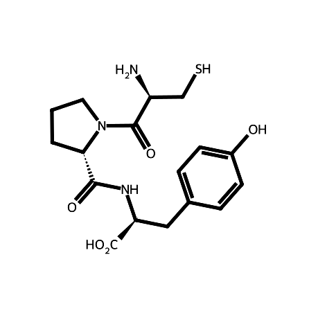 N[C@@H](CS)C(=O)N1CCC[C@H]1C(=O)N[C@@H](Cc1ccc(O)cc1)C(=O)O